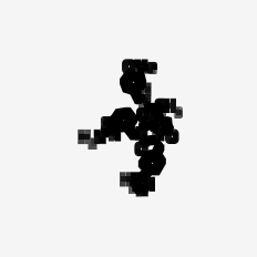 COc1ccc(CNC(=O)N(C)N2CC(=O)N3[C@@H](Cc4ccc(-c5nnn[nH]5)cc4)C(=O)N(Cc4cccc5sc(N)nc45)C[C@@H]32)cc1